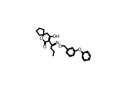 CCCC(=NOCc1cccc(Oc2ccccc2)c1)C1=C(O)CC2(CCCC2)OC1=O